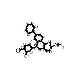 Nc1ncc2c(n1)-c1ccc(-c3ccccc3)cc1C(c1ccc(Cl)c(Cl)c1)C2